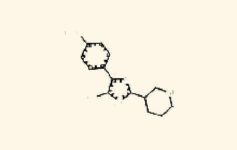 CCOC(=O)c1ccc(-c2nc(C3CCCNC3)[nH]c2C(=O)OCC)cc1